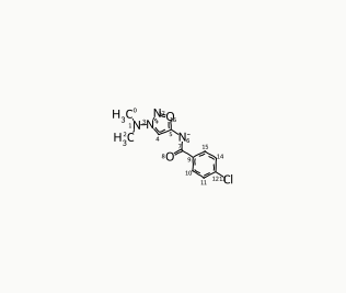 CN(C)[n+]1cc([N-]C(=O)c2ccc(Cl)cc2)on1